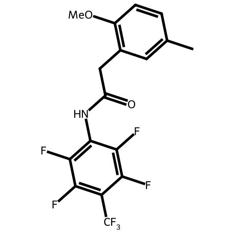 COc1ccc(C)cc1CC(=O)Nc1c(F)c(F)c(C(F)(F)F)c(F)c1F